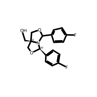 OC[C@@]12COC(c3ccc(F)cc3)N1[C@@H](c1ccc(F)cc1)OC2